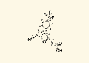 N#C[C@H]1C[C@](OC(=O)/C=C/C(=O)O)(c2ccc(C(F)(F)F)cc2)C1